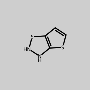 c1cc2c(s1)NNS2